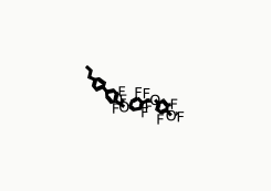 CCCc1ccc(-c2ccc(C(F)(F)Oc3cc(F)c(C(F)(F)Oc4cc(F)c(OCF)c(F)c4)c(F)c3)c(F)c2)cc1